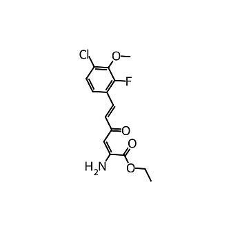 CCOC(=O)/C(N)=C\C(=O)/C=C/c1ccc(Cl)c(OC)c1F